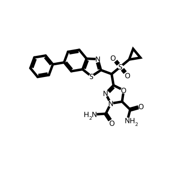 NC(=O)C1OC(C(c2nc3ccc(-c4ccccc4)cc3s2)S(=O)(=O)C2CC2)=NN1C(N)=O